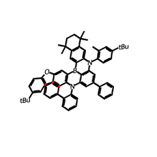 Cc1cc(C(C)(C)C)ccc1N1c2cc3c(cc2B2c4cc5oc6ccc(C(C)(C)C)cc6c5cc4N(c4ccccc4-c4ccccc4)c4cc(-c5ccccc5)cc1c42)C(C)(C)CCC3(C)C